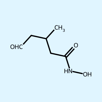 CC(CC=O)CC(=O)NO